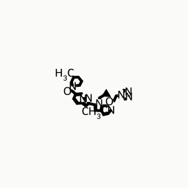 Cc1c(-c2cc3ccnc(OCCn4cnnc4)c3n2CC2CC2)nn2cc(C(=O)N3CCC[C@@H](C)C3)ccc12